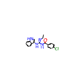 CCN=C(NC(=O)c1ccc(Cl)cc1)Nc1c[nH]c2ccccc12